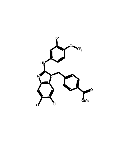 COC(=O)c1ccc(Cn2c(Nc3ccc(OC(F)(F)F)c(Br)c3)nc3cc(Cl)c(Cl)cc32)cc1